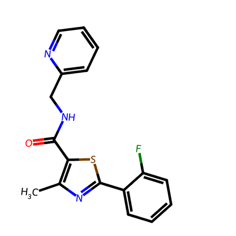 Cc1nc(-c2ccccc2F)sc1C(=O)NCc1ccccn1